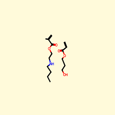 C=C(C)C(=O)OCCNCCCC.C=CC(=O)OCCCO